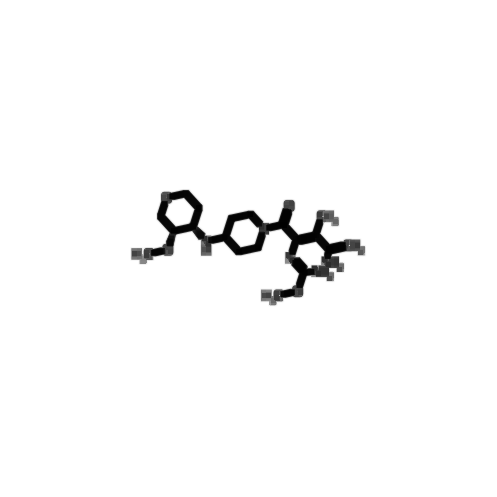 C=C(N)/C(C)=C(\N=C(/N)OC)C(=O)N1CCC(N[C@@H]2CCOC[C@@H]2OC)CC1